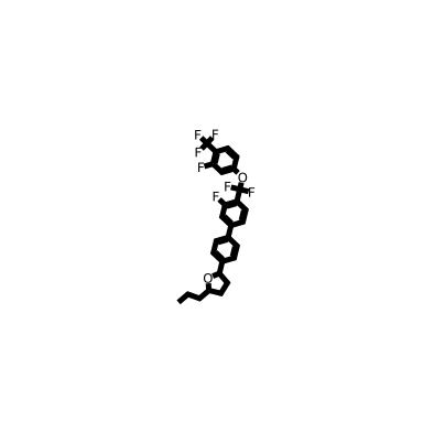 CCCC1CCC(c2ccc(-c3ccc(C(F)(F)Oc4ccc(C(F)(F)F)c(F)c4)c(F)c3)cc2)O1